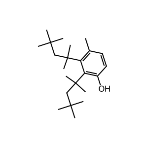 Cc1ccc(O)c(C(C)(C)CC(C)(C)C)c1C(C)(C)CC(C)(C)C